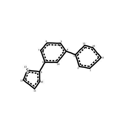 c1ccc(-c2cccc(-c3cccs3)c2)cc1